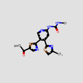 CCNC(=O)Nc1cc(-c2nc(C(F)(F)F)cs2)c(-c2ncc(C(=O)OC)s2)cn1